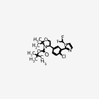 CC(C)(C)OC(=O)N1C(c2ccc(Cl)c(-c3nccn3C(F)F)c2)COC1(C)C